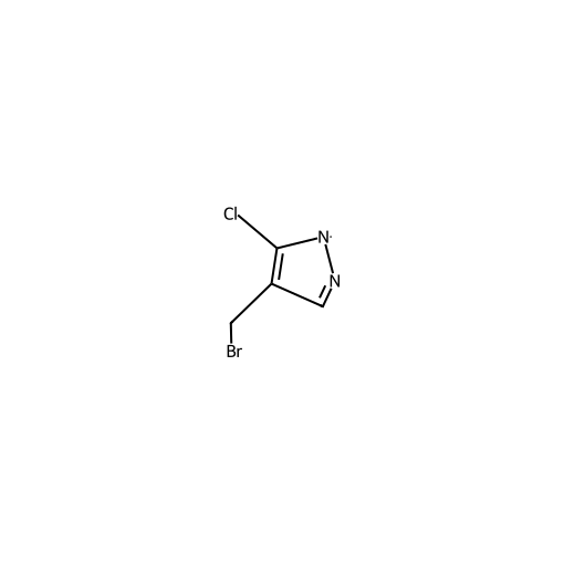 ClC1=C(CBr)C=N[N]1